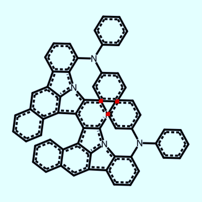 c1ccc(N(c2ccccc2)c2cccc3c4cc5ccccc5c5c6c7c8c9ccccc9cc9c%10cccc(N(c%11ccccc%11)c%11ccccc%11)c%10n(c7ncc6n(c23)c45)c98)cc1